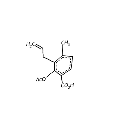 C=CCc1c(C)ccc(C(=O)O)c1OC(C)=O